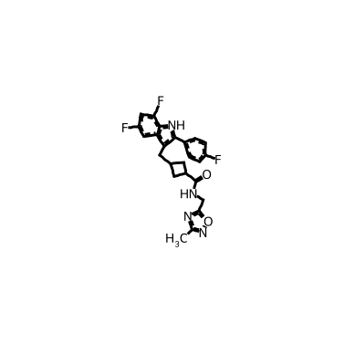 Cc1noc(CNC(=O)C2CC(Cc3c(-c4ccc(F)cc4)[nH]c4c(F)cc(F)cc34)C2)n1